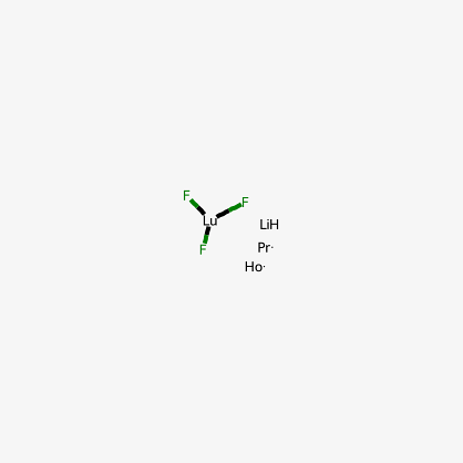 [F][Lu]([F])[F].[Ho].[LiH].[Pr]